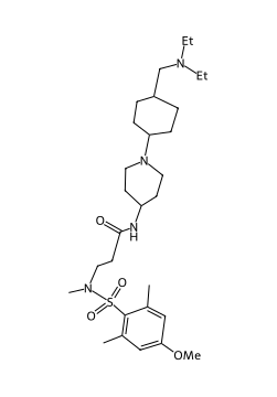 CCN(CC)CC1CCC(N2CCC(NC(=O)CCN(C)S(=O)(=O)c3c(C)cc(OC)cc3C)CC2)CC1